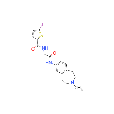 CN1CCc2ccc(NC(=O)CNC(=O)c3ccc(I)s3)cc2CC1